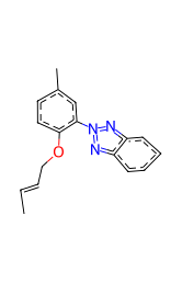 C/C=C/COc1ccc(C)cc1-n1nc2ccccc2n1